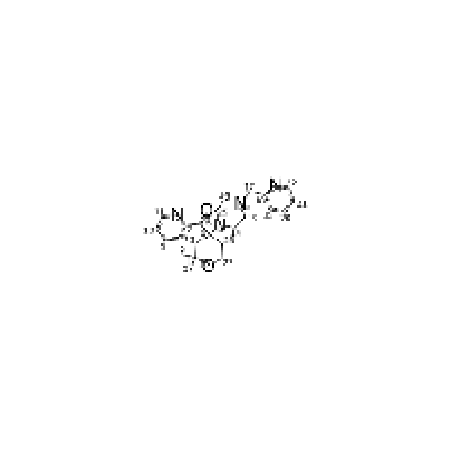 CC1(C)CC(C(=O)c2ccccn2)(N2CCN(Cc3ccccn3)CC2)CCO1